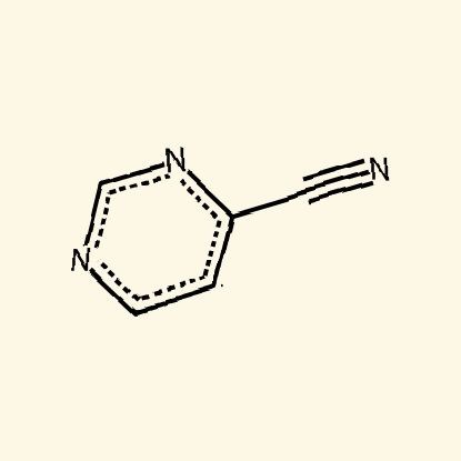 N#Cc1[c]cncn1